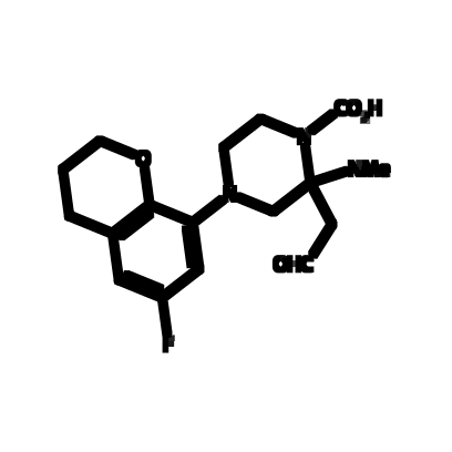 CNC1(CC=O)CN(c2cc(F)cc3c2OCCC3)CCN1C(=O)O